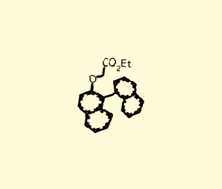 CCOC(=O)COc1ccc2ccccc2c1-c1cccc2ccccc12